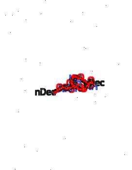 CCCCCCCCCCCCCCCC(=O)NCC(C)(C)COCC(C)(C)CNC(=O)c1cc(OCCNC(=O)CC(C)(C)COCC(C)(C)CNC(=O)CCN2C(=O)C=CC2=O)cc(C(=O)NCC(C)(C)COC(C)(C)CNC(=O)CCCCCCCCCCCCCCC)c1